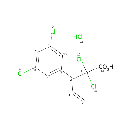 C=CC(c1cc(Cl)cc(Cl)c1)C(Cl)(Cl)C(=O)O.Cl